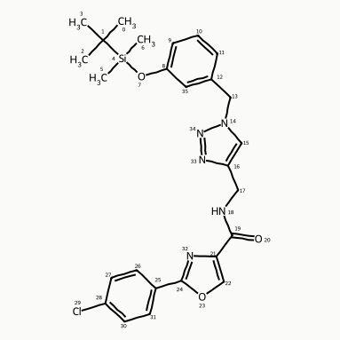 CC(C)(C)[Si](C)(C)Oc1cccc(Cn2cc(CNC(=O)c3coc(-c4ccc(Cl)cc4)n3)nn2)c1